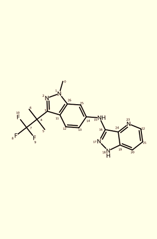 Cn1nc(C(C)(C)C(F)(F)F)c2ccc(Nc3n[nH]c4cccnc34)cc21